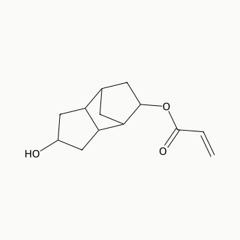 C=CC(=O)OC1CC2CC1C1CC(O)CC21